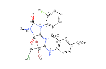 COc1ccc(NC(N=C2C(=O)N(C)C(=O)N2c2ccccc2F)C(Br)(Br)CCl)c(OC)c1